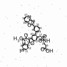 CNC(=O)c1c(-c2ccc(F)cc2)oc2cc(CS(=O)(=O)NCCC(=O)O)c(-c3cccc(-c4nc5ncccc5o4)c3)cc12